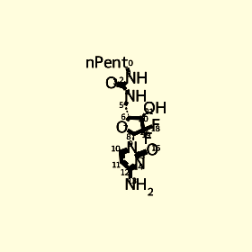 CCCCCNC(=O)NC[C@H]1O[C@@H](n2ccc(N)nc2=O)C(F)(F)[C@@H]1O